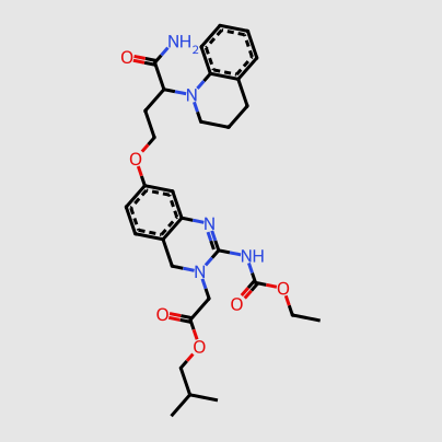 CCOC(=O)NC1=Nc2cc(OCCC(C(N)=O)N3CCCc4ccccc43)ccc2CN1CC(=O)OCC(C)C